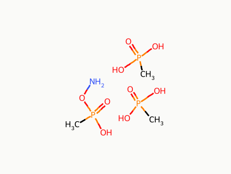 CP(=O)(O)O.CP(=O)(O)O.CP(=O)(O)ON